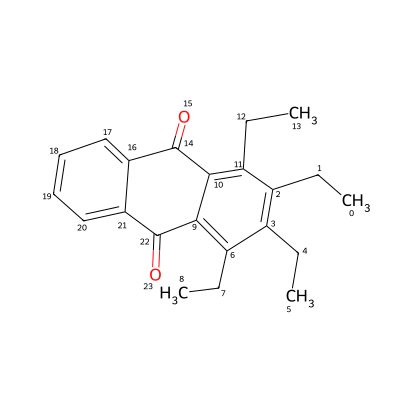 CCc1c(CC)c(CC)c2c(c1CC)C(=O)c1ccccc1C2=O